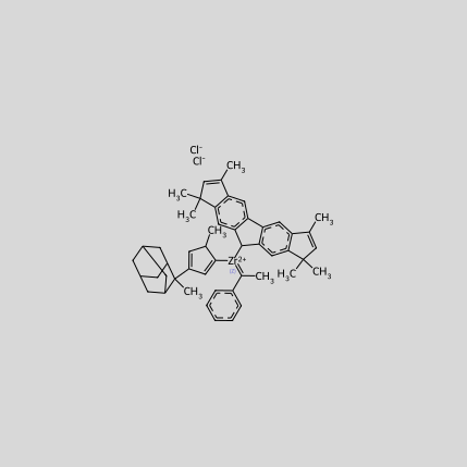 CC1=CC(C)(C)c2cc3c(cc21)-c1cc2c(cc1[CH]3/[Zr+2]([C]1=CC(C3(C)C4CC5CC(C4)CC3C5)=CC1C)=[C](\C)c1ccccc1)C(C)(C)C=C2C.[Cl-].[Cl-]